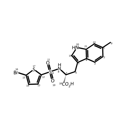 Cc1ccc2c(C[C@@H](NS(=O)(=O)c3ccc(Br)s3)C(=O)O)c[nH]c2c1